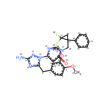 COc1ccc(Cc2nc(N)nn2-c2cc(=O)n(CC3(c4ccccc4)CC3(F)F)cn2)cc1OC